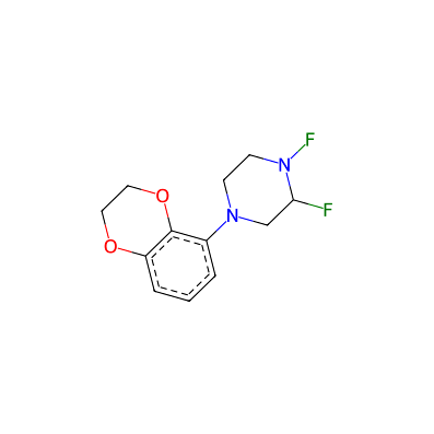 FC1CN(c2cccc3c2OCCO3)CCN1F